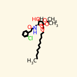 CCCCCCCCCCCCOC[C@@]12O[C@@H](CNC(=O)Cc3ccccc3Cl)[C@@H](O)[C@@H]1OC(C)(C)O2